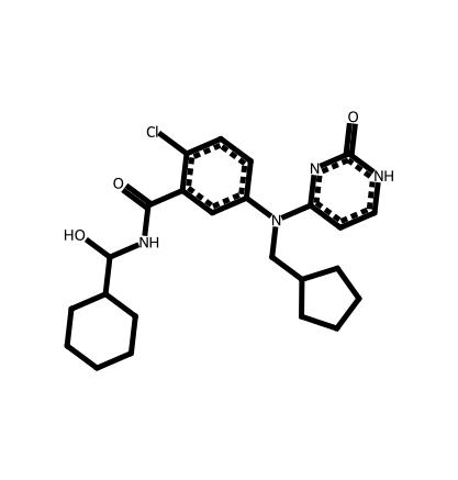 O=C(NC(O)C1CCCCC1)c1cc(N(CC2CCCC2)c2cc[nH]c(=O)n2)ccc1Cl